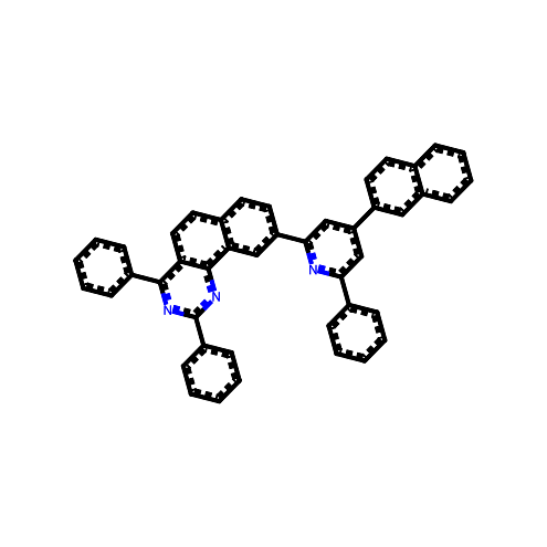 c1ccc(-c2cc(-c3ccc4ccccc4c3)cc(-c3ccc4ccc5c(-c6ccccc6)nc(-c6ccccc6)nc5c4c3)n2)cc1